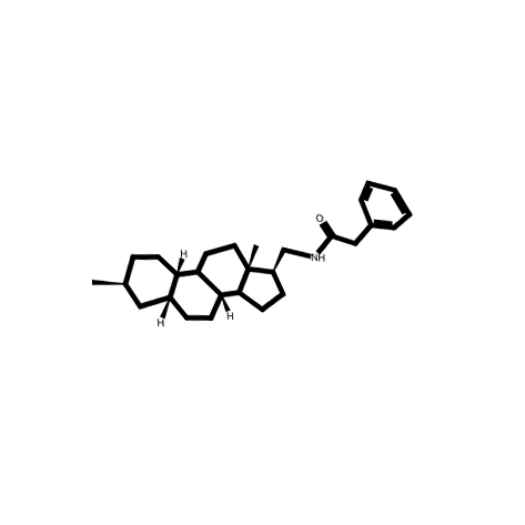 C[C@H]1CC[C@@H]2C3CC[C@@]4(C)C(CC[C@@H]4CNC(=O)Cc4ccccc4)[C@@H]3CC[C@@H]2C1